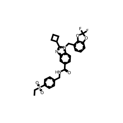 CCS(=O)(=O)c1ccc(CNC(=O)c2ccc3c(c2)nc(C2CCC2)n3Cc2cccc3c2OC(F)(F)O3)cc1